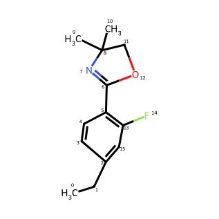 CCc1ccc(C2=NC(C)(C)CO2)c(F)c1